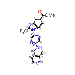 COC(=O)c1ccc2c(c1)nc(C(F)(F)F)n2-c1cnc(NCc2ccncc2C)cn1